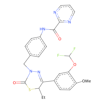 CCC1SC(=O)N(Cc2ccc(NC(=O)c3ncccn3)cc2)N=C1c1ccc(OC)c(OC(F)F)c1